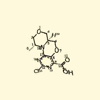 C[C@@H]1COC[C@H]2COc3c(C(=O)O)nc(Cl)nc3N21